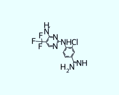 CNc1nc(Nc2ccc(C(=N)N)cc2Cl)ncc1C(F)(F)F